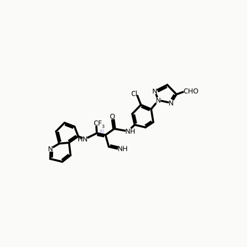 N=C/C(C(=O)Nc1ccc(-n2ncc(C=O)n2)c(Cl)c1)=C(\Nc1cccc2ncccc12)C(F)(F)F